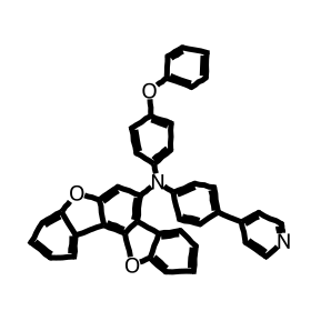 c1ccc(Oc2ccc(N(c3ccc(-c4ccncc4)cc3)c3cc4oc5ccccc5c4c4oc5ccccc5c34)cc2)cc1